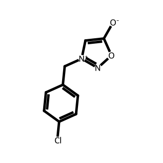 [O-]c1c[n+](Cc2ccc(Cl)cc2)no1